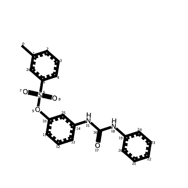 Cc1cccc(S(=O)(=O)Oc2cccc(NC(=O)Nc3ccccc3)c2)c1